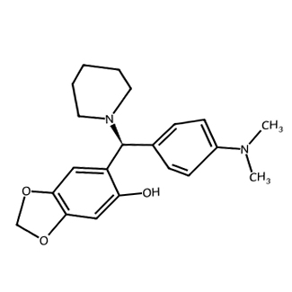 CN(C)c1ccc([C@@H](c2cc3c(cc2O)OCO3)N2CCCCC2)cc1